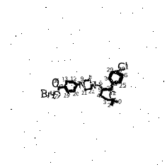 CC1(C)CCC(CN2CCN(c3ccc(C(=O)OBr)cc3)CC2)=C(c2ccc(Cl)cc2)C1